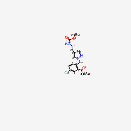 COC(=O)c1cc(Cl)ccc1Cn1cc(CCNC(=O)OC(C)(C)C)nn1